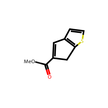 COC(=O)C1=Cc2ccsc2C1